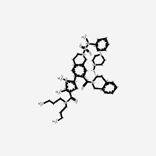 CCCCN(CCCC)C(=O)c1cc(-c2cc3c(cc2C(=O)N2Cc4ccccc4C[C@H]2CN2CCOCC2)CN(S(=O)(=O)N(C)c2ccccc2)CC3)n(C)c1C